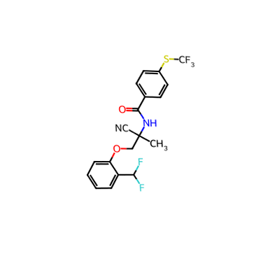 CC(C#N)(COc1ccccc1C(F)F)NC(=O)c1ccc(SC(F)(F)F)cc1